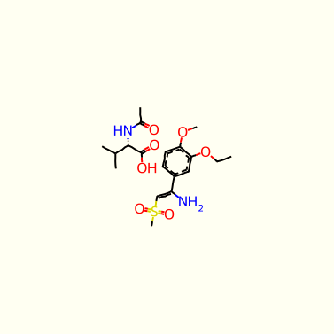 CC(=O)N[C@H](C(=O)O)C(C)C.CCOc1cc(C(N)=CS(C)(=O)=O)ccc1OC